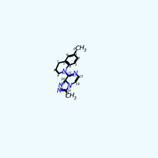 Cc1ccc2c(c1)CCCN2c1nccn2c(C)nnc12